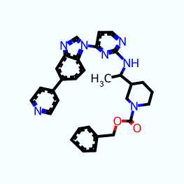 CC(Nc1nccc(-n2cnc3cc(-c4ccncc4)ccc32)n1)C1CCCN(C(=O)OCc2ccccc2)C1